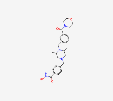 CC1CN(Cc2ccc(C(=O)NO)cc2)CC(C)N1Cc1cccc(C(=O)N2CCOCC2)c1